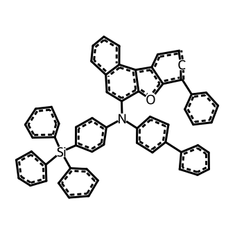 c1ccc(-c2ccc(N(c3ccc([Si](c4ccccc4)(c4ccccc4)c4ccccc4)cc3)c3cc4ccccc4c4c3oc3c(-c5ccccc5)cccc34)cc2)cc1